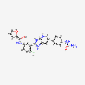 NC(=O)Nc1ccc(-c2cnc3nc(-c4cc(NC(=O)c5ccco5)ccc4Cl)[nH]c3c2)cc1